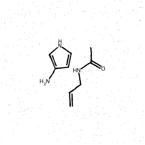 C=CCNC(C)=O.Nc1cc[nH]c1